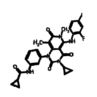 Cc1c(=O)n(C)c(Nc2ccc(I)cc2F)c2c(=O)n(C3CC3)c(=O)n(-c3cccc(NC(=O)C4CC4)c3)c12